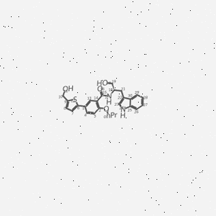 CCCOc1ccc(-c2ccc(CO)s2)cc1C(=O)N[C@@H](CO)Cc1c[nH]c2ccccc12